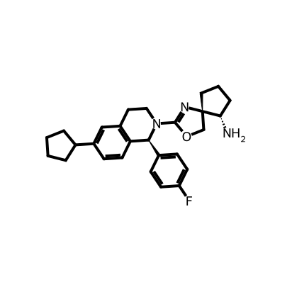 N[C@H]1CCC[C@]12COC(N1CCc3cc(C4CCCC4)ccc3[C@@H]1c1ccc(F)cc1)=N2